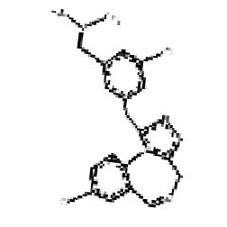 CN(C)Cc1cc(Cl)cc(Cc2nnc3n2-c2ccc(Cl)cc2C=NC3)c1